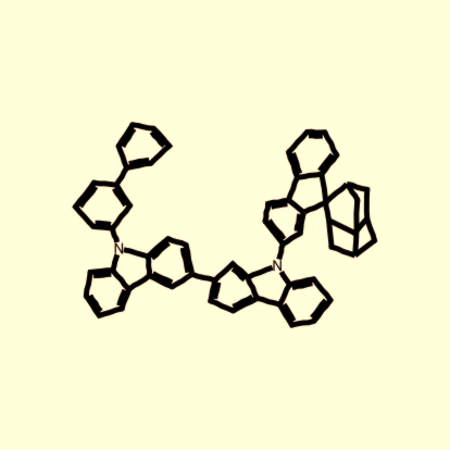 c1ccc(-c2cccc(-n3c4ccccc4c4cc(-c5ccc6c7ccccc7n(-c7ccc8c(c7)C7(c9ccccc9-8)C8CC9CC(C8)CC7C9)c6c5)ccc43)c2)cc1